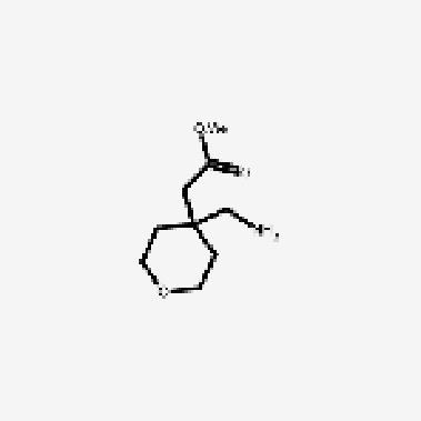 COC(=O)CC1(CN)CCOCC1